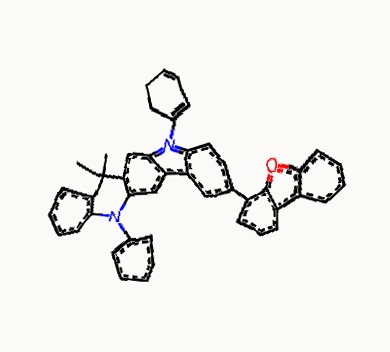 CC1(C)c2ccccc2N(c2ccccc2)c2cc3c4cc(-c5cccc6c5oc5ccccc56)ccc4n(C4=CC=CCC4)c3cc21